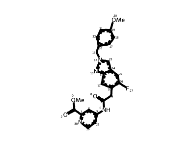 COC(=O)c1cc(NC(=O)Cc2cc3nn(Cc4ccc(OC)cc4)cc3cc2F)ccn1